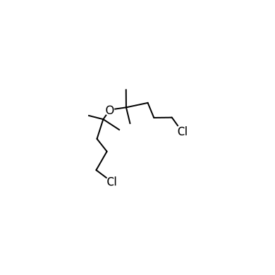 CC(C)(CCCCl)OC(C)(C)CCCCl